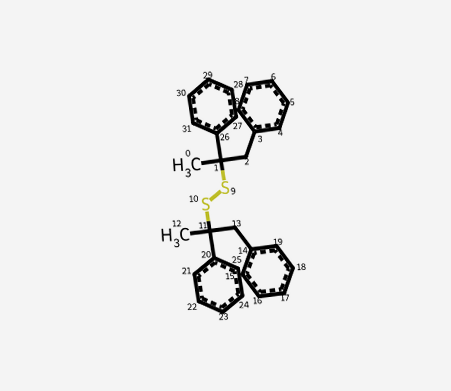 CC(Cc1ccccc1)(SSC(C)(Cc1ccccc1)c1ccccc1)c1ccccc1